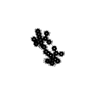 c1ccc(-c2cc(-c3ccccc3)cc(N3c4cc5cc6cc(-c7ccc8c(c7)oc7c9c%10c(cc78)N(c7cc(-c8ccccc8)cc(-c8ccccc8)c7)c7cc8cc%11ccccc%11cc8cc7B%10n7c8ccccc8c8cccc-9c87)ccc6cc5cc4B4c5c3cc3ccccc3c5-c3cccc5c6ccccc6n4c35)c2)cc1